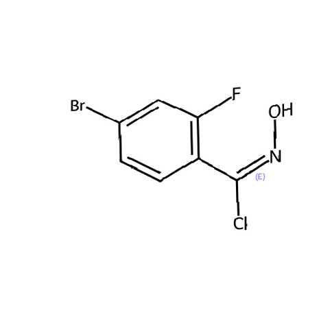 O/N=C(/Cl)c1ccc(Br)cc1F